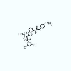 CC(C(=O)O)N(c1ccc2c(C(=O)NCc3ccc(CN)cc3)cccc2c1)S(=O)(=O)c1cc(Cl)cc(Cl)c1